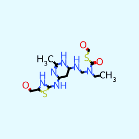 CCN(CNC1CC(NC2NC(C=O)S2)N=C(C)N1)C(=O)SC=O